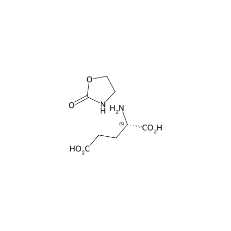 N[C@@H](CCC(=O)O)C(=O)O.O=C1NCCO1